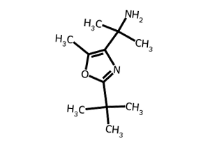 Cc1oc(C(C)(C)C)nc1C(C)(C)N